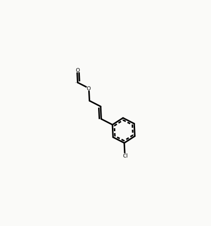 O=[C]OCC=Cc1cccc(Cl)c1